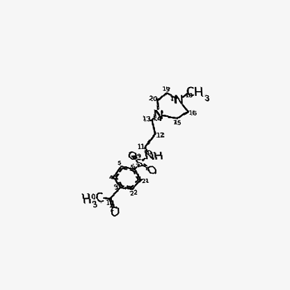 CC(=O)c1ccc(S(=O)(=O)NCCCN2CCN(C)CC2)cc1